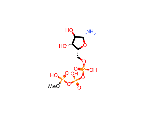 COP(=O)(O)OP(=O)(O)OP(=O)(O)OC[C@H]1O[C@@H](N)C(O)[C@H]1O